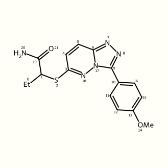 CCC(Sc1ccc2nnc(-c3ccc(OC)cc3)n2n1)C(N)=O